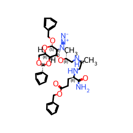 C[C@H](CN[C@@H](C)CN[C@H](CCC(=O)OCc1ccccc1)C(N)=O)O[C@@H]1[C@@H](N=[N+]=[N-])[C@@H](OCc2ccccc2)O[C@@H]2CO[C@@H](c3ccccc3)O[C@@H]12